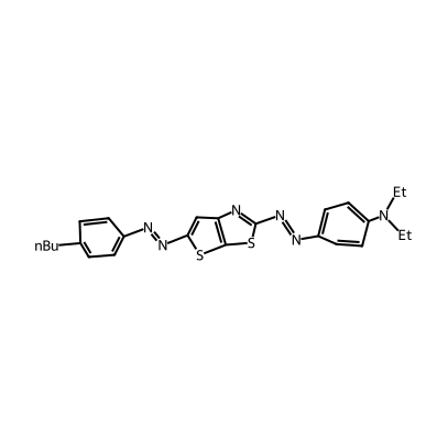 CCCCc1ccc(/N=N/c2cc3nc(/N=N/c4ccc(N(CC)CC)cc4)sc3s2)cc1